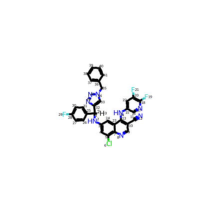 [2H]C(Nc1cc(Cl)c2ncc(C#N)c(Nc3cnc(F)c(F)c3)c2c1)(c1ccc(F)cc1)c1cn(Cc2ccccc2)nn1